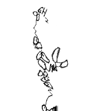 C=CC(=O)OCCCCCCOc1ccc(C(=O)Oc2ccc(OC(=O)c3ccc(OCCCCCCOC(=O)C=C)cc3)c(/C=N/N=C3c4ccccc4-c4ccccc43)c2)cc1